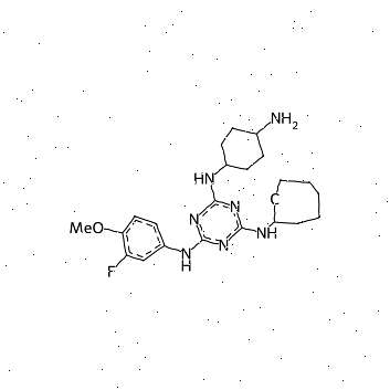 COc1ccc(Nc2nc(NC3CCCCCC3)nc(NC3CCC(N)CC3)n2)cc1F